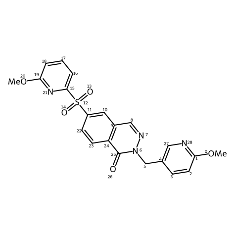 COc1ccc(Cn2ncc3cc(S(=O)(=O)c4cccc(OC)n4)ccc3c2=O)cn1